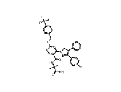 CC(C)(NC(=O)c1cnc(OCc2ccc(C(F)(F)F)cc2)nc1N1CC(c2ccccc2)C(c2ccc(F)cc2)=N1)C(N)=O